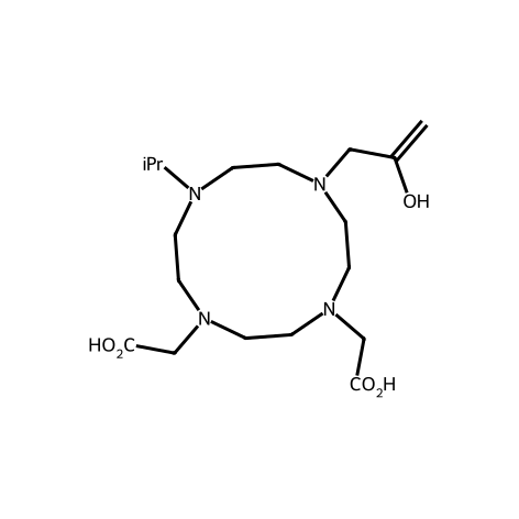 C=C(O)CN1CCN(CC(=O)O)CCN(CC(=O)O)CCN(C(C)C)CC1